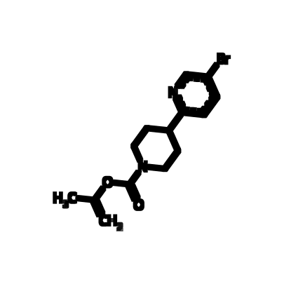 C=C(C)OC(=O)N1CCC(c2ccc(Br)cn2)CC1